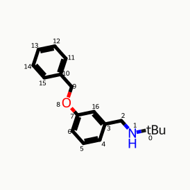 CC(C)(C)NCc1cccc(OCc2ccccc2)c1